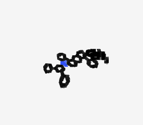 Cc1ccccc1-c1c(C)ccc2c1Cc1ccc3c(c1C2)c1ccccc1n3-c1cc(-c2ccccc2)cc(-c2ccccc2)c1